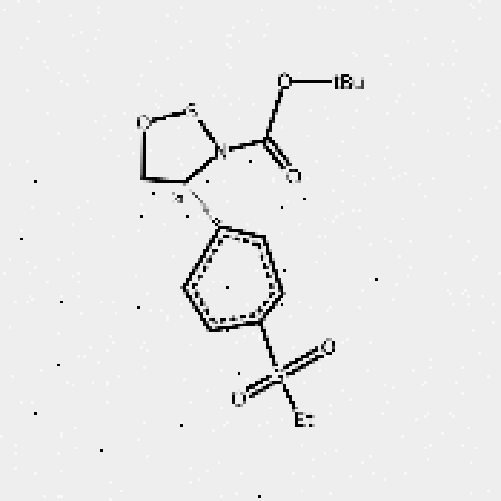 CCS(=O)(=O)c1ccc([C@@H]2COSN2C(=O)OC(C)(C)C)cc1